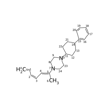 C=C/C=C\C=C(/C)N1CCN(C2CCC(c3ccccc3)CC2)CC1